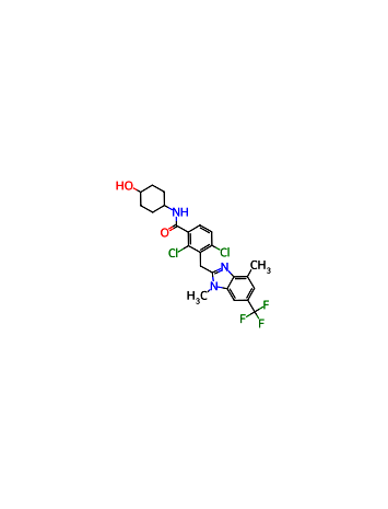 Cc1cc(C(F)(F)F)cc2c1nc(Cc1c(Cl)ccc(C(=O)NC3CCC(O)CC3)c1Cl)n2C